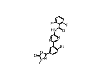 CCc1ccc(-c2nn(C)c(=O)o2)cc1-c1cnc(NC(=O)c2c(F)cccc2F)cn1